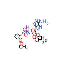 COCOc1ccccc1/C=C/S(=O)(=O)NC[C@H]1O[C@@H](n2cnc3c(N)ncnc32)C2OC(C)(C)OC21